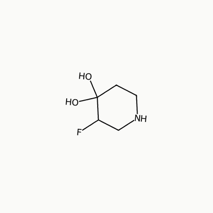 OC1(O)CCNCC1F